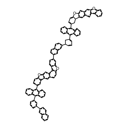 C1=CC(c2ccc3ccc(-c4ccc5c(c4)oc4ccc6cc7c(cc6c45)oc4ccc(-c5c6ccccc6c(-c6cccc(-c8ccc9ccccc9c8)c6)c6ccccc56)cc47)cc3c2)CC(c2c3ccccc3c(C3=CC=C4Oc5cc6cc7oc8ccccc8c7cc6cc5C4C3)c3ccccc23)=C1